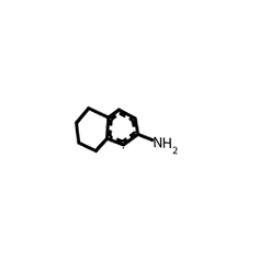 Nc1[c]c2c(cc1)CCCC2